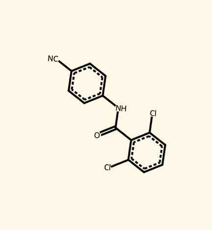 N#Cc1ccc(NC(=O)c2c(Cl)cccc2Cl)cc1